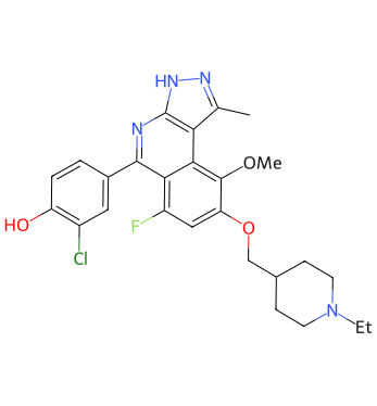 CCN1CCC(COc2cc(F)c3c(-c4ccc(O)c(Cl)c4)nc4[nH]nc(C)c4c3c2OC)CC1